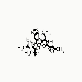 COC[C@H](NC(=O)c1cc(C)on1)C(=O)NC(Cc1cscn1)C(=O)N[C@@H](CC(C)C)C(=O)[C@@]1(C)CO1